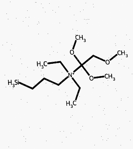 CC[N+](CC)(CCC[SiH3])C(COC)(OC)OC